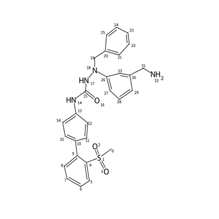 CS(=O)(=O)c1ccccc1-c1ccc(NC(=O)NN(Cc2ccccc2)c2cccc(CN)c2)cc1